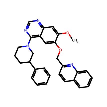 COc1cc2ncnc(N3CCCC(c4ccccc4)C3)c2cc1OCc1ccc2ccccc2n1